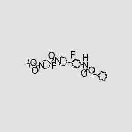 CC(C)(C)OC(=O)N1CCC(F)(C(=O)N2CCC(c3ccc(NC(=O)OCc4ccccc4)cc3F)CC2)CC1